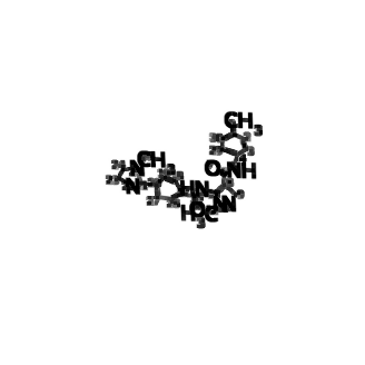 Cc1ccc(NC(=O)c2cnn(C)c2NC(=O)c2ccc(C3=NCCN3C)cc2)cc1